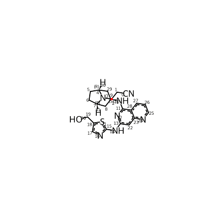 N#CCCN1[C@@H]2CC[C@H]1C[C@H](Nc1nc(Nc3ncc(CO)s3)cc3ncccc13)C2